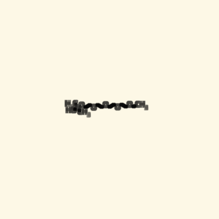 CCOCCOCCOCCOCCO[Si](C)(C)O